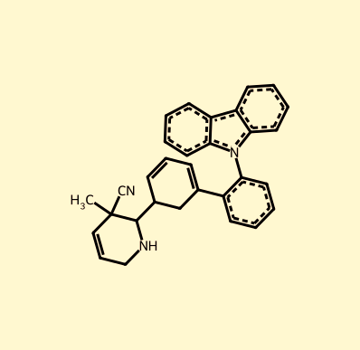 CC1(C#N)C=CCNC1C1C=CC=C(c2ccccc2-n2c3ccccc3c3ccccc32)C1